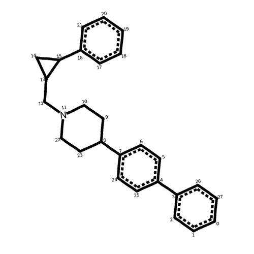 c1ccc(-c2ccc(C3CCN(CC4CC4c4ccccc4)CC3)cc2)cc1